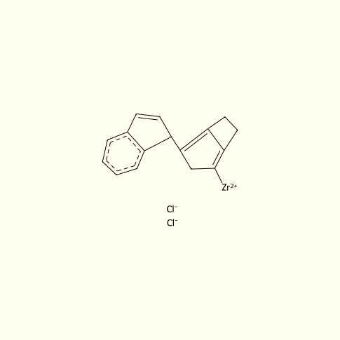 [Cl-].[Cl-].[Zr+2][C]1=C2CCC2=C(C2C=Cc3ccccc32)C1